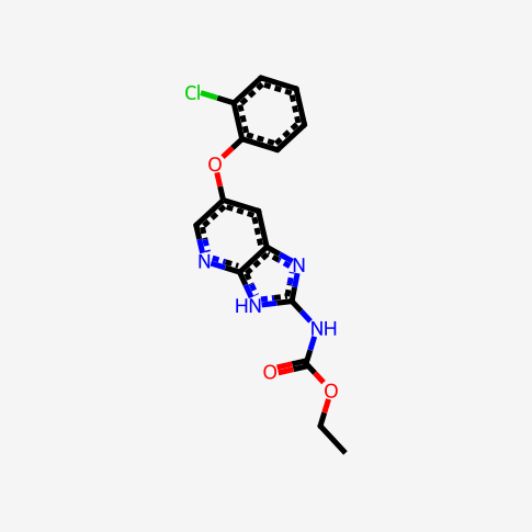 CCOC(=O)Nc1nc2cc(Oc3ccccc3Cl)cnc2[nH]1